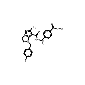 COC(=O)c1ccc([C@H](C)NC(=O)c2c(C(F)(F)F)nn3c2N(Cc2ccc(I)cc2)CC3)cc1